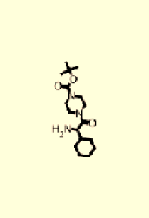 CC(C)(C)OC(=O)N1CCN(C(=O)C(N)C2CCCCC2)CC1